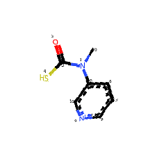 CN(C(=O)S)c1cccnc1